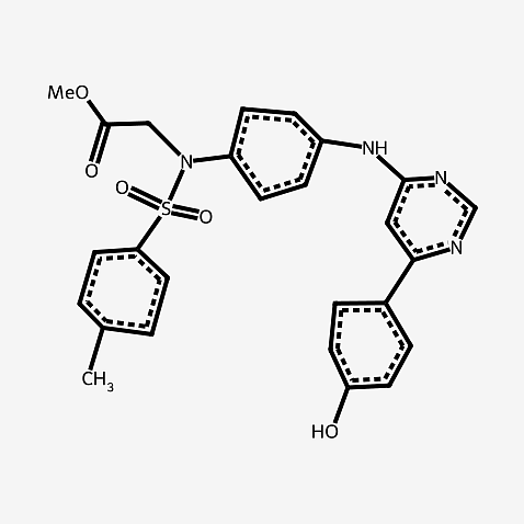 COC(=O)CN(c1ccc(Nc2cc(-c3ccc(O)cc3)ncn2)cc1)S(=O)(=O)c1ccc(C)cc1